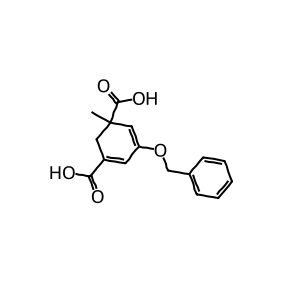 CC1(C(=O)O)C=C(OCc2ccccc2)C=C(C(=O)O)C1